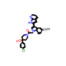 COc1ccc2c(c1)c(-c1cc3cccnc3[nH]1)cn2CC(=O)N1CCC(O)(c2ccc(Cl)cc2)CC1